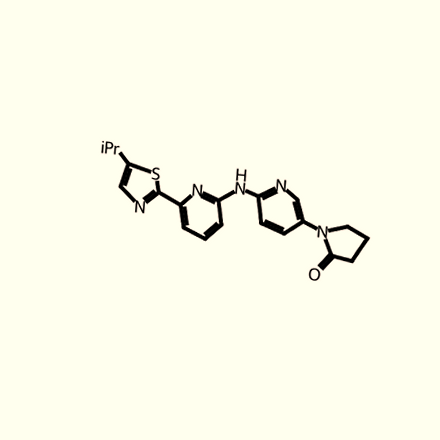 CC(C)c1cnc(-c2cccc(Nc3ccc(N4CCCC4=O)cn3)n2)s1